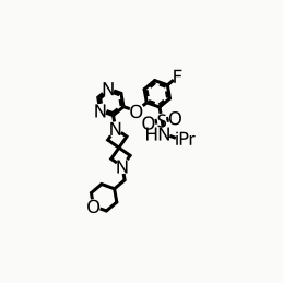 CC(C)NS(=O)(=O)c1cc(F)ccc1Oc1cncnc1N1CC2(CN(CC3CCOCC3)C2)C1